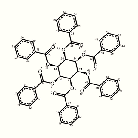 O=C(O[C@H]1[C@@H](OC(=O)c2ccccc2)[C@@H](OC(=O)c2ccccc2)[C@@H](OC(=O)c2ccccc2)[C@@H](OC(=O)c2ccccc2)[C@H]1OC(=O)c1ccccc1)c1ccccc1